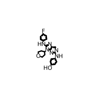 Oc1ccc(Nc2ncc3nc(Nc4ccc(F)cc4)n(C4CCOCC4)c3n2)cc1